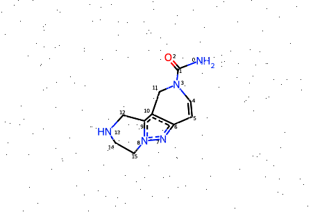 NC(=O)N1C=Cc2nn3c(c2C1)CNCC3